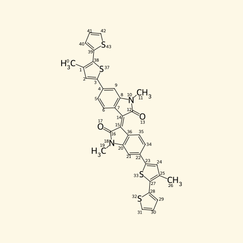 Cc1cc(-c2ccc3c(c2)N(C)C(=O)/C3=C2/C(=O)N(C)c3cc(-c4cc(C)c(-c5cccs5)s4)ccc32)sc1-c1cccs1